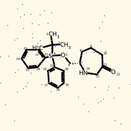 CC(C)(C)[Si](OC[C@@H]1CCCC(=O)CN1)(c1ccccc1)c1ccccc1